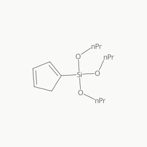 CCCO[Si](OCCC)(OCCC)C1=CC=CC1